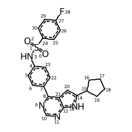 O=S(=O)(Nc1ccc(-c2ncnc3[nH]c(C4CCCC4)cc23)cc1)c1ccc(F)cc1